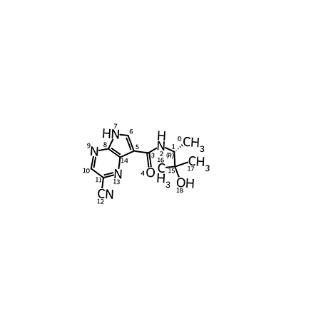 C[C@@H](NC(=O)c1c[nH]c2ncc(C#N)nc12)C(C)(C)O